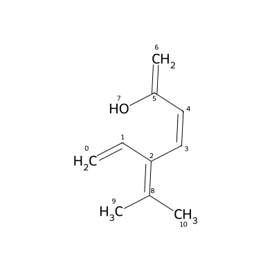 C=CC(/C=C\C(=C)O)=C(C)C